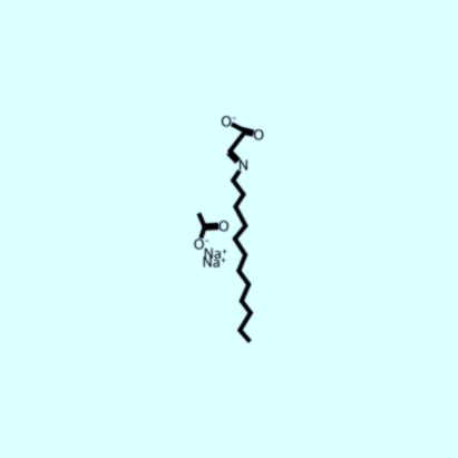 CC(=O)[O-].CCCCCCCCCCCCN=CC(=O)[O-].[Na+].[Na+]